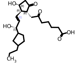 CCCC1CCC([C@H](O)/C=C/[C@H]2[C@H](O)CC(=O)[C@@H]2CC(=O)CCCCC(=O)O)C1